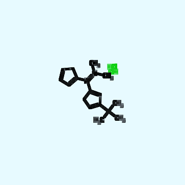 C[Si](C)=[Zr]([C]1=CC=CC1)[C]1=CC(C(C)(C)C)=CC1.Cl.Cl